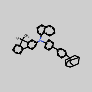 CC1(C)c2ccccc2-c2ccc(N(c3ccc(-c4ccc(C56CC7CC(CC(C7)C5)C6)cc4)cc3)c3cccc4ccccc34)cc21